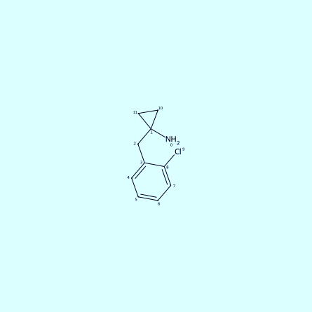 NC1(Cc2ccccc2Cl)CC1